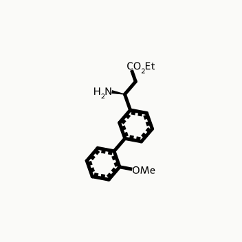 CCOC(=O)C[C@H](N)c1cccc(-c2ccccc2OC)c1